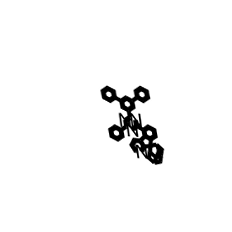 c1ccc(-c2cc(-c3ccccc3)cc(-c3nc(-c4ccccc4)nc(-c4cccc5c4-c4cccnc4C54C5CC6CC(C5)CC4C6)n3)c2)cc1